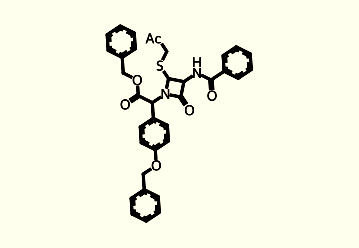 CC(=O)CSC1C(NC(=O)c2ccccc2)C(=O)N1C(C(=O)OCc1ccccc1)c1ccc(OCc2ccccc2)cc1